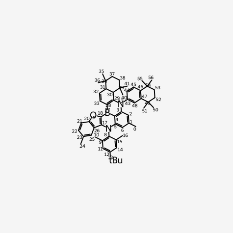 Cc1cc2c3c(c1)N(c1c(C)cc(C(C)(C)C)cc1C)c1c(oc4ccc(C)cc14)B3C1=C(C3C(C=C1)C(C)(C)CCC3(C)C)N2c1ccc2c(c1)C(C)(C)CCC2(C)C